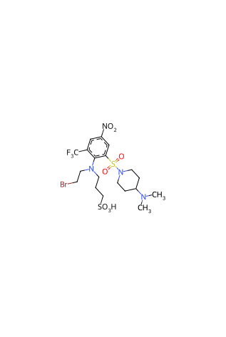 CN(C)C1CCN(S(=O)(=O)c2cc([N+](=O)[O-])cc(C(F)(F)F)c2N(CCBr)CCCS(=O)(=O)O)CC1